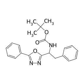 CC(C)(C)OC(=O)NC(Cc1ccccc1)c1nnc(-c2ccccc2)o1